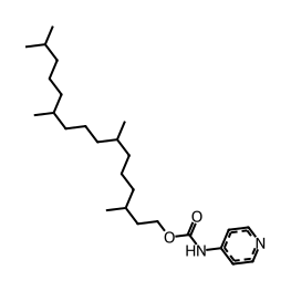 CC(C)CCCC(C)CCCC(C)CCCC(C)CCOC(=O)Nc1ccncc1